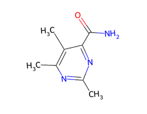 Cc1nc(C)c(C)c(C(N)=O)n1